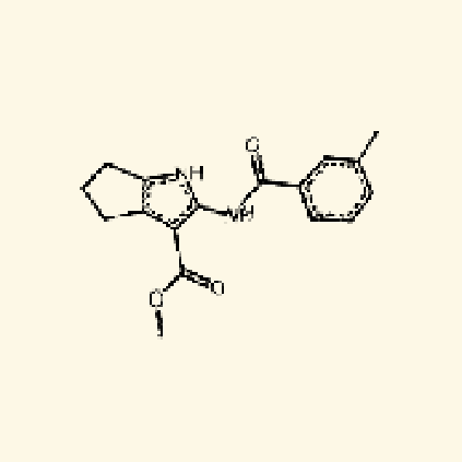 COC(=O)c1c(NC(=O)c2cccc(C)c2)[nH]c2c1CCC2